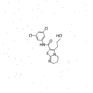 CCCC1=C(C(=O)Nc2cc(Cl)cc(Cl)c2)SC2=NCCCN21.Cl